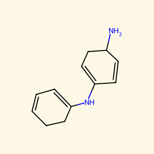 NC1C=CC(NC2=CC=CCC2)=CC1